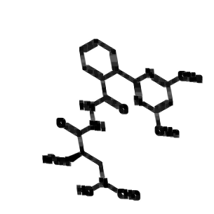 CCCCC[C@H](CN(O)C=O)C(=O)NNC(=O)c1ccccc1-c1nc(OC)cc(OC)n1